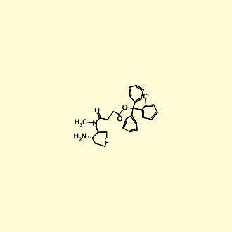 CN(C(=O)CCC(=O)OC(c1ccccc1)(c1ccccc1)c1ccccc1Cl)[C@H]1CCCC[C@@H]1N